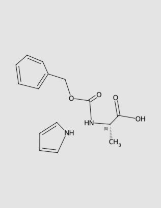 C[C@H](NC(=O)OCc1ccccc1)C(=O)O.c1cc[nH]c1